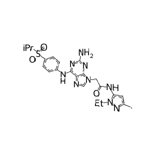 CCn1nc(C)cc1NC(=O)Cn1cnc2c(Nc3ccc(S(=O)(=O)C(C)C)cc3)nc(N)nc21